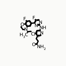 CCC(C)N1CCOc2c(F)cc(-c3nc(Nc4ccc(CCC(N)=O)cn4)ncc3F)cc21